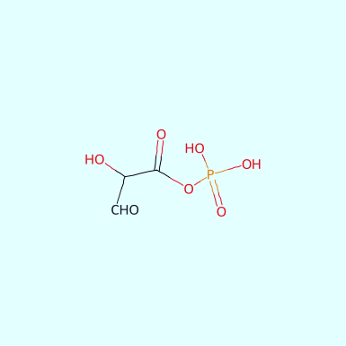 O=CC(O)C(=O)OP(=O)(O)O